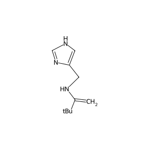 C=C(NCc1c[nH]cn1)C(C)(C)C